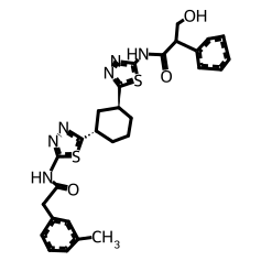 Cc1cccc(CC(=O)Nc2nnc([C@H]3CCC[C@H](c4nnc(NC(=O)C(CO)c5ccccc5)s4)C3)s2)c1